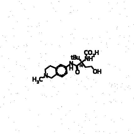 CN1CCc2cc(NC(=O)[C@@](CCO)(NC(=O)O)C(C)(C)C)ccc2C1